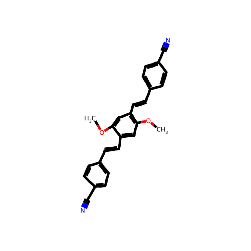 COc1cc(C=Cc2ccc(C#N)cc2)c(OC)cc1C=Cc1ccc(C#N)cc1